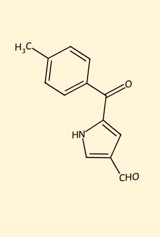 Cc1ccc(C(=O)c2cc(C=O)c[nH]2)cc1